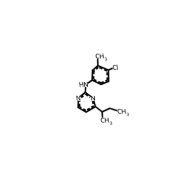 CCC(C)c1ccnc(Nc2ccc(Cl)c(C)c2)n1